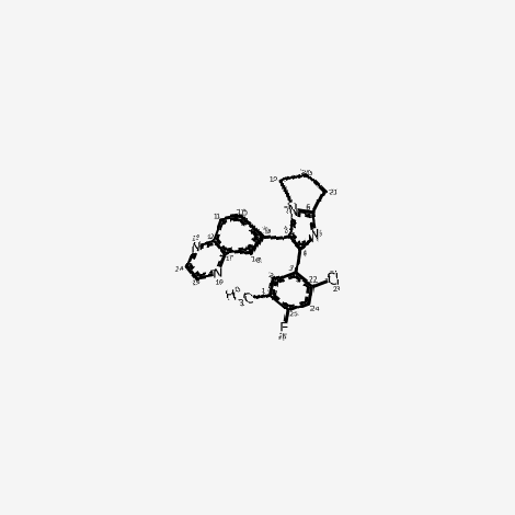 Cc1cc(-c2nc3n(c2-c2ccc4nccnc4c2)CCC3)c(Cl)cc1F